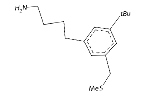 CSCc1cc(CCCCN)cc(C(C)(C)C)c1